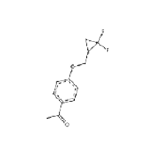 CC(=O)c1ccc(OCC2CC2(F)F)cc1